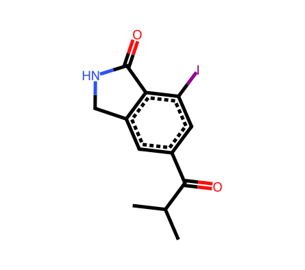 CC(C)C(=O)c1cc(I)c2c(c1)CNC2=O